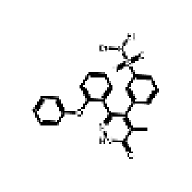 CCN(CC)S(=O)(=O)c1cccc(-c2c(-c3ccccc3Oc3ccccc3)n[nH]c(=O)c2C)c1